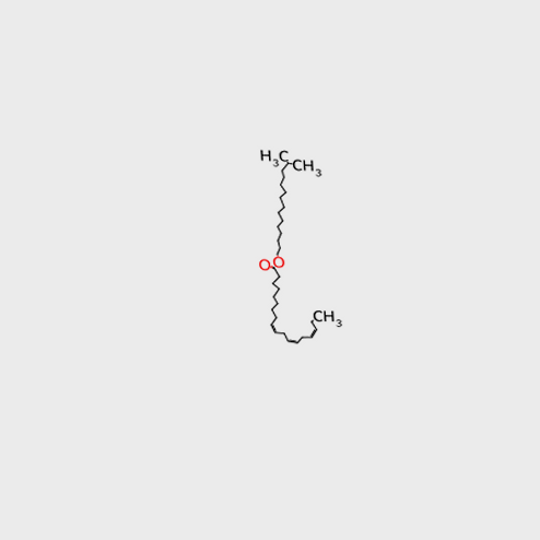 CC/C=C\C/C=C\C/C=C\CCCCCCCC(=O)OCCCCCCCCCCCCCC(C)C